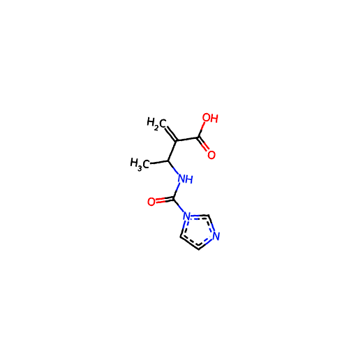 C=C(C(=O)O)C(C)NC(=O)n1ccnc1